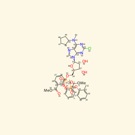 COC(=O)c1ccccc1OP(=O)(CP(=O)(Oc1ccccc1C)Oc1ccccc1C(=O)OC)OC[C@H]1O[C@@H](n2cnc3c(N(C)C4CCCC4)nc(Cl)nc32)[C@H](O)[C@@H]1O